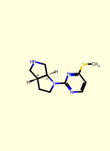 CSc1ccnc(N2CC[C@@H]3CNC[C@H]32)n1